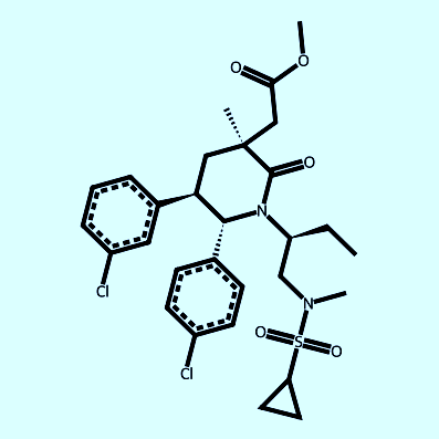 CC[C@@H](CN(C)S(=O)(=O)C1CC1)N1C(=O)[C@](C)(CC(=O)OC)C[C@H](c2cccc(Cl)c2)[C@H]1c1ccc(Cl)cc1